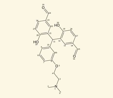 CN(C)CCOc1cccc(C(c2cc(C=O)ccc2O)c2cc(C=O)ccc2O)c1